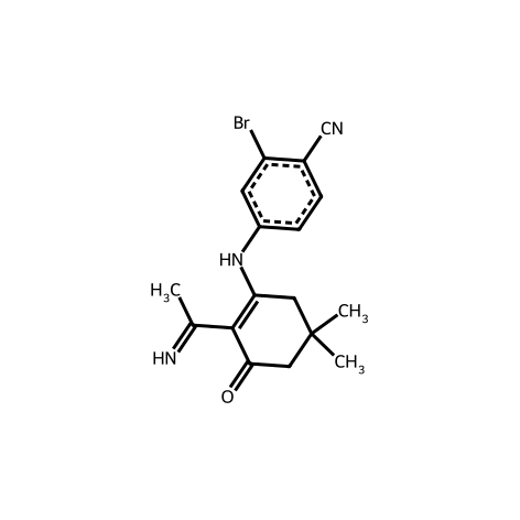 CC(=N)C1=C(Nc2ccc(C#N)c(Br)c2)CC(C)(C)CC1=O